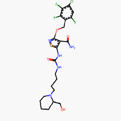 NC(=O)c1c(OCc2c(F)cc(Cl)c(F)c2F)nsc1NC(=O)NCCCCN1CCCCC1CO